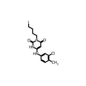 Cc1ccc(Nc2cc(=O)n(CCCCI)c(=O)[nH]2)cc1Cl